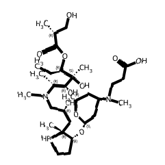 CC[C@@H](OC(=O)[C@H](C)CO)[C@@](C)(O)[C@H](O)[C@@H](C)N(C)C[C@H](C)C[C@@]1(C)PCC[C@H]1O[C@H]1CC(N(C)CCC(=O)O)C[C@@H](C)O1